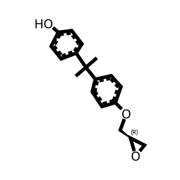 CC(C)(c1ccc(O)cc1)c1ccc(OC[C@H]2CO2)cc1